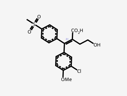 COc1ccc(/C(=C(\CCO)C(=O)O)c2ccc(S(C)(=O)=O)cc2)cc1Cl